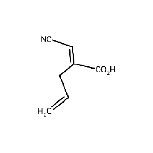 C=CCC(=CC#N)C(=O)O